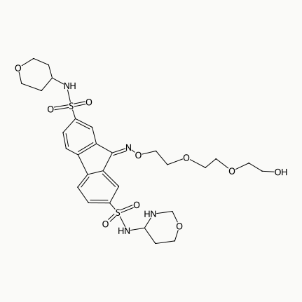 O=S(=O)(NC1CCOCC1)c1ccc2c(c1)/C(=N/OCCOCCOCCO)c1cc(S(=O)(=O)NC3CCOCN3)ccc1-2